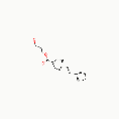 O=C(OCCCO)c1ccc(C=Cc2ccccc2)cc1